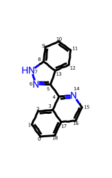 c1ccc2c(-c3n[nH]c4ccccc34)nccc2c1